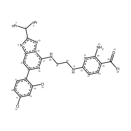 CCCC(CCC)c1nc2cc(-c3ccc(Cl)cc3Cl)nc(NCCNc3ccc(C(=O)CC)c(N)n3)n2n1